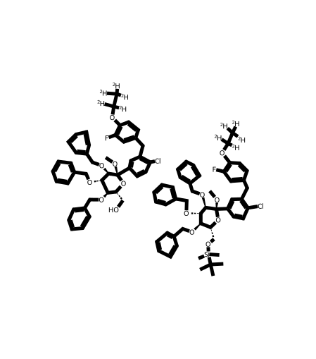 [2H]C([2H])([2H])C([2H])([2H])Oc1ccc(Cc2cc([C@]3(OC)O[C@H](CO)[C@@H](OCc4ccccc4)[C@H](OCc4ccccc4)[C@H]3OCc3ccccc3)ccc2Cl)cc1F.[2H]C([2H])([2H])C([2H])([2H])Oc1ccc(Cc2cc([C@]3(OC)O[C@H](CO[Si](C)(C)C(C)(C)C)[C@@H](OCc4ccccc4)[C@H](OCc4ccccc4)[C@H]3OCc3ccccc3)ccc2Cl)cc1F